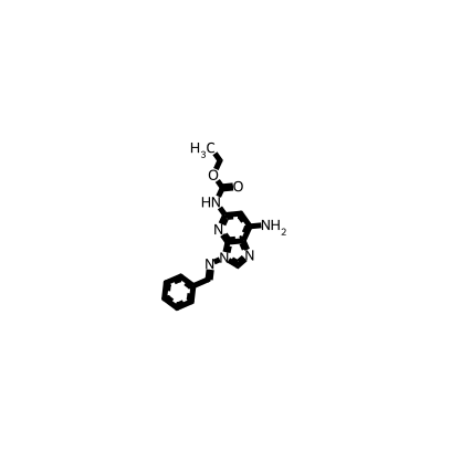 CCOC(=O)Nc1cc(N)c2ncn(/N=C/c3ccccc3)c2n1